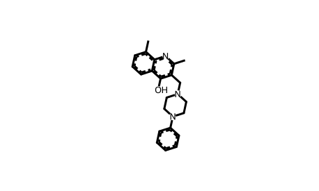 Cc1nc2c(C)cccc2c(O)c1CN1CCN(c2ccccc2)CC1